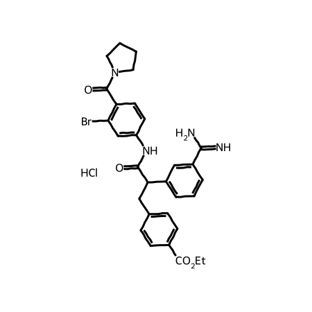 CCOC(=O)c1ccc(CC(C(=O)Nc2ccc(C(=O)N3CCCC3)c(Br)c2)c2cccc(C(=N)N)c2)cc1.Cl